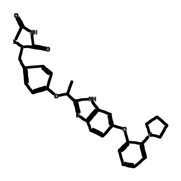 CC(Oc1ccc(CC2SC(=O)NC2=O)cc1)c1nc2ccc(Oc3ccccc3N3CCCC3)cc2[nH]1